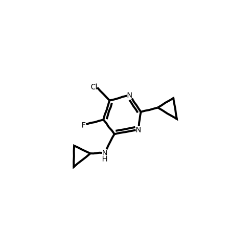 Fc1c(Cl)nc(C2CC2)nc1NC1CC1